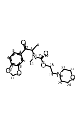 CC(C(=O)c1ccc2c(c1)OCO2)N(C)C(=O)OCCN1CCOCC1